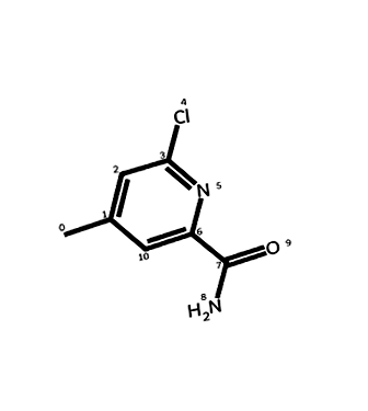 Cc1cc(Cl)nc(C(N)=O)c1